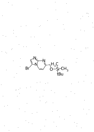 CC(C)(C)[Si](C)(C)OCc1ccn2c(Br)cnc2n1